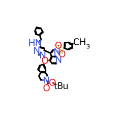 Cc1ccc(S(=O)(=O)n2cc(-c3cc(NCc4ccccc4)ncn3)c3c(Oc4ccc5c(c4)CN(C(=O)OC(C)(C)C)CC5)ccnc32)cc1